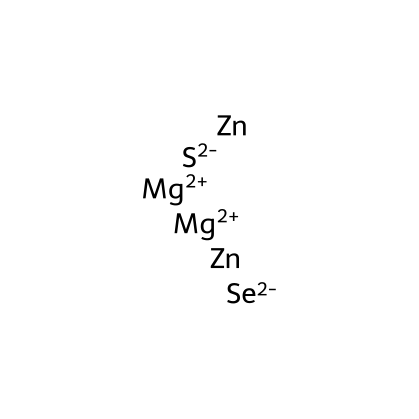 [Mg+2].[Mg+2].[S-2].[Se-2].[Zn].[Zn]